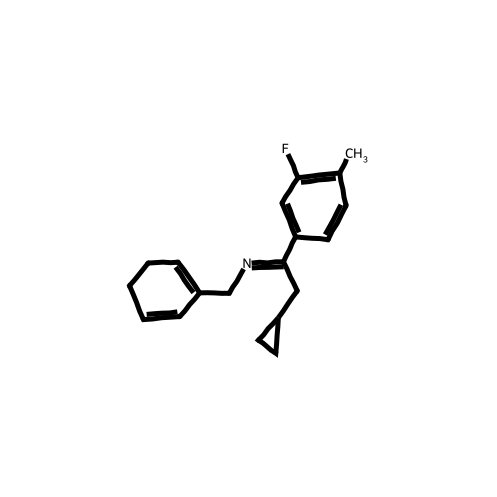 Cc1ccc(/C(CC2CC2)=N/CC2=CCCC=C2)cc1F